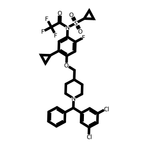 O=C(N(c1cc(C2CC2)c(OCC2CCN(C(c3ccccc3)c3cc(Cl)cc(Cl)c3)CC2)cc1F)S(=O)(=O)C1CC1)C(F)(F)F